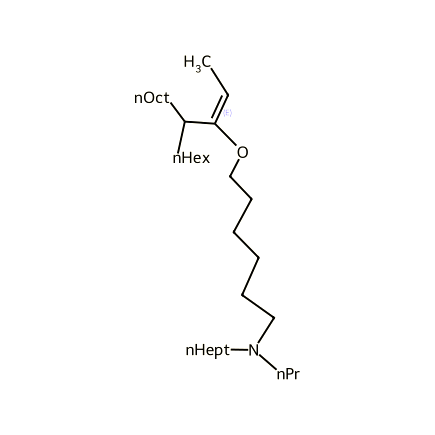 C/C=C(/OCCCCCCN(CCC)CCCCCCC)C(CCCCCC)CCCCCCCC